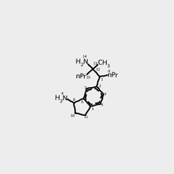 CCCC(c1ccc2c(c1)C(N)CC2)C(C)(N)CCC